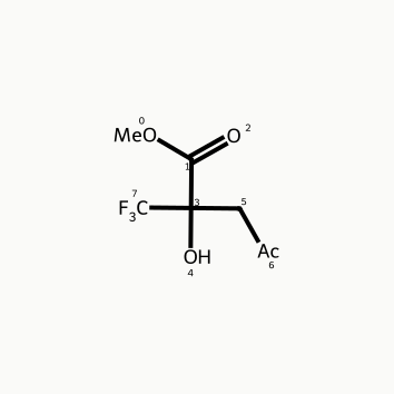 COC(=O)C(O)(CC(C)=O)C(F)(F)F